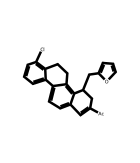 CC(=O)C1=Cc2ccc3c(c2C(Cc2ccco2)C1)CCc1c(Cl)cccc1-3